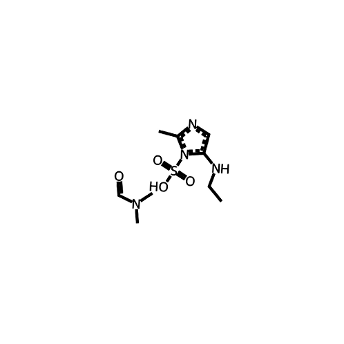 CCNc1cnc(C)n1S(=O)(=O)O.CN(C)C=O